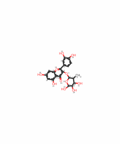 CC1C(Oc2c(-c3ccc(O)c(O)c3)oc3cc(O)cc(O)c3c2=O)OC(O)C(O)C1O